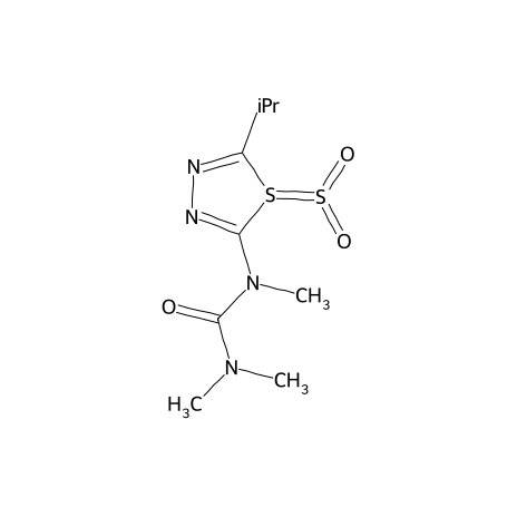 CC(C)C1=NN=C(N(C)C(=O)N(C)C)S1=S(=O)=O